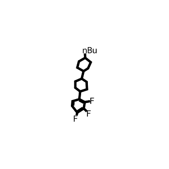 CCCCC1CCC(C2CCC(c3ccc(F)c(F)c3F)CC2)CC1